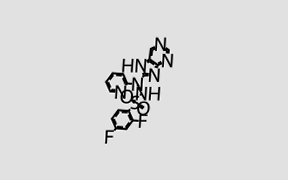 O=S(=O)(NN(c1ccccn1)c1nc2ncncc2[nH]1)c1ccc(F)cc1F